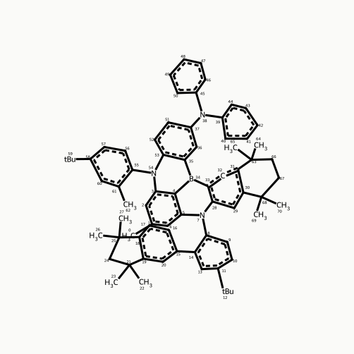 Cc1cc2c3c(c1)N(c1ccc(C(C)(C)C)cc1-c1ccc4c(c1)C(C)(C)CC4(C)C)c1cc4c(cc1B3c1cc(N(c3ccccc3)c3ccccc3)ccc1N2c1ccc(C(C)(C)C)cc1C)C(C)(C)CCC4(C)C